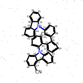 N#Cc1cccc(-n2c3ccccc3c3c(C#N)cccc32)c1-c1ccccc1-c1cccc(-n2c3ccccc3c3ccccc32)c1